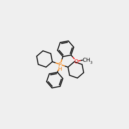 COc1ccccc1[PH](c1ccccc1)(C1CCCCC1)C1CCCCC1